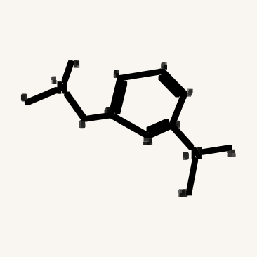 CN(C)Cc1cc[c]c(N(C)C)c1